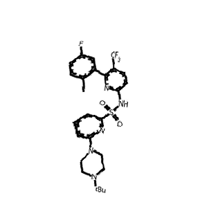 Cc1ccc(F)cc1-c1nc(NS(=O)(=O)c2cccc(N3CCN(C(C)(C)C)CC3)n2)ccc1C(F)(F)F